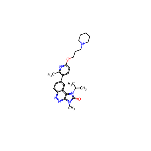 Cc1nc(OCCCN2CCCCC2)ccc1-c1ccc2nnc3c(c2c1)n(C(C)C)c(=O)n3C